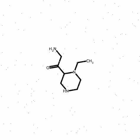 C[CH]N1CCNCC1C(=O)CN